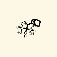 CC(C1CC2CCC1C2)C(O)(P(=O)(O)O)P(=O)(O)O